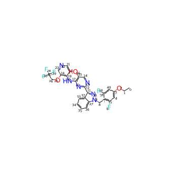 CCOc1cc(F)c(Cn2nc(-c3ncc(O)c(Nc4ccncc4OCC(F)(F)F)n3)c3ccccc32)c(F)c1